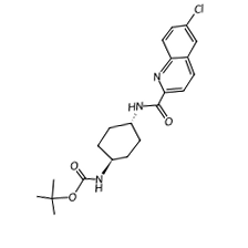 CC(C)(C)OC(=O)N[C@H]1CC[C@H](NC(=O)c2ccc3cc(Cl)ccc3n2)CC1